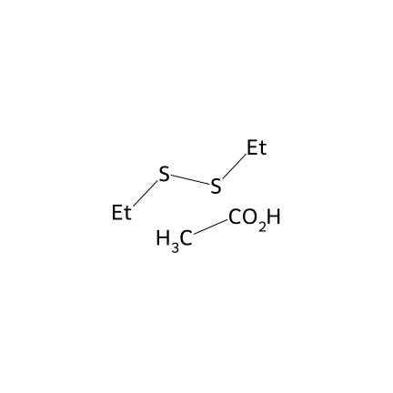 CC(=O)O.CCSSCC